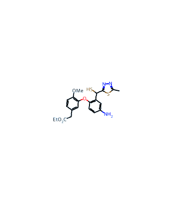 CCOC(=O)Cc1ccc(OC)c(Oc2ccc(N)cc2C(S)c2nnc(C)s2)c1